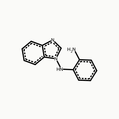 Nc1ccccc1Nn1cnc2ccccc21